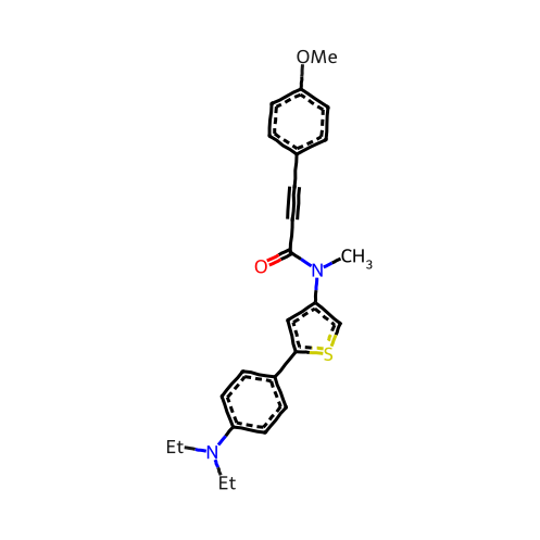 CCN(CC)c1ccc(-c2cc(N(C)C(=O)C#Cc3ccc(OC)cc3)cs2)cc1